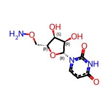 NOC[C@H]1O[C@@H](n2ccc(=O)[nH]c2=O)[C@H](O)[C@@H]1O